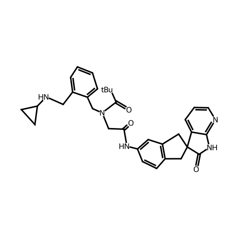 CC(C)(C)C(=O)N(CC(=O)Nc1ccc2c(c1)CC1(C2)C(=O)Nc2ncccc21)Cc1ccccc1CNC1CC1